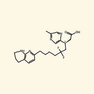 Cc1cnc([C@@H](CC(=O)O)CC(F)(F)CCCCc2ccc3c(n2)NCCC3)cn1